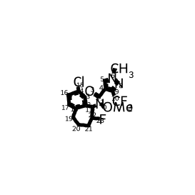 CON(C(=O)c1cn(C)nc1C(F)(F)F)C1c2cc(Cl)ccc2CCCC1F